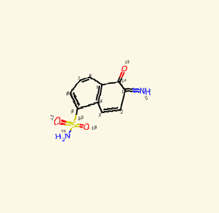 N=C1C=Cc2c(cccc2S(N)(=O)=O)C1=O